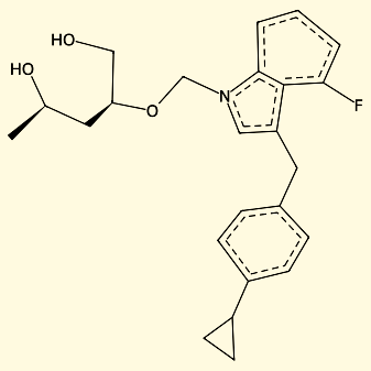 C[C@@H](O)C[C@@H](CO)OCn1cc(Cc2ccc(C3CC3)cc2)c2c(F)cccc21